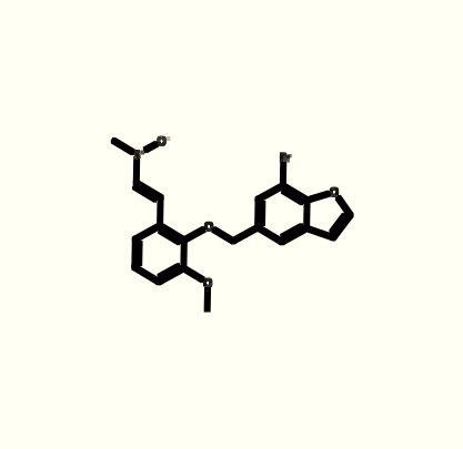 COc1cccc(C=C[S+](C)[O-])c1OCc1cc(Br)c2occc2c1